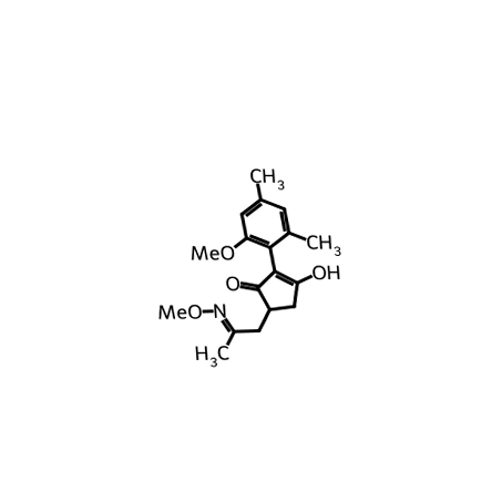 CON=C(C)CC1CC(O)=C(c2c(C)cc(C)cc2OC)C1=O